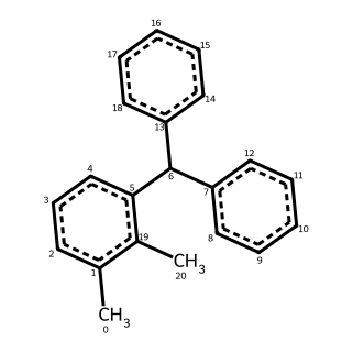 Cc1cccc(C(c2ccccc2)c2ccccc2)c1C